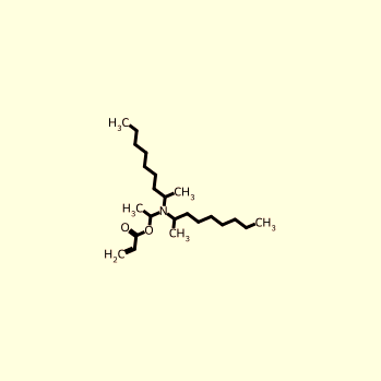 C=CC(=O)OC(C)N(C(C)CCCCCCC)C(C)CCCCCCC